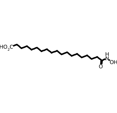 O=C(O)CCCCCCCCCCCCCCCCCC(=O)NO